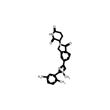 Cc1ccc(N)cc1-c1nc(-c2ccc3c(c2)CN(C2CCC(=O)NC2=O)C3=O)cn1C